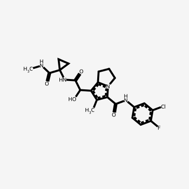 CNC(=O)C1(NC(=O)C(O)c2c(C)c(C(=O)Nc3ccc(F)c(Cl)c3)n3c2CCC3)CC1